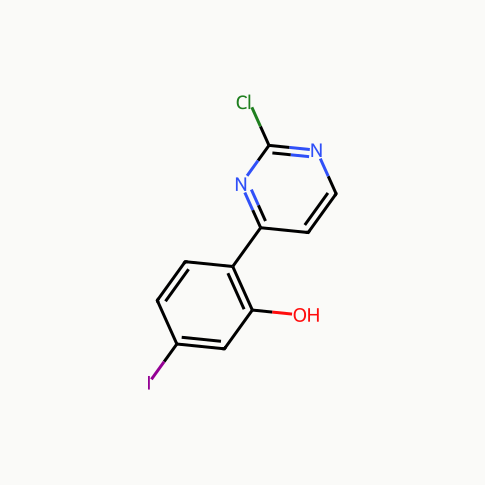 Oc1cc(I)ccc1-c1ccnc(Cl)n1